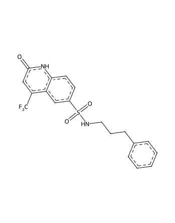 O=c1cc(C(F)(F)F)c2cc(S(=O)(=O)NCCCc3ccccc3)ccc2[nH]1